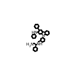 NCC(NCc1cccc(-n2c3ccccc3c3cc(-c4ccccc4)c(Nc4ccccc4)cc32)c1)c1ccccc1